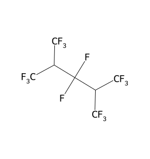 FC(F)(F)C(C(F)(F)F)C(F)(F)C(C(F)(F)F)C(F)(F)F